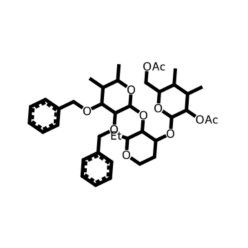 CCC1OCCC(OC2OC(COC(C)=O)C(C)C(C)C2OC(C)=O)C1OC1OC(C)C(C)C(OCc2ccccc2)C1OCc1ccccc1